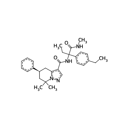 CCc1ccc(C(CC)(NC(=O)c2cnn3c2C[C@H](c2ccccc2)CC3(C)C)C(=O)NC)cc1